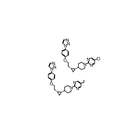 Clc1cnc(N2CCC([C@H]3C[C@H]3CCOc3ccc(-n4ccnn4)cc3)CC2)nc1.Fc1cnc(N2CCC([C@H]3C[C@H]3CCOc3ccc(-n4ccnn4)cc3)CC2)nc1